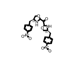 O=C(C1N[C@@H](Cc2ccc([N+](=O)[O-])cc2)CO1)C1N[C@@H](Cc2ccc([N+](=O)[O-])cc2)CO1